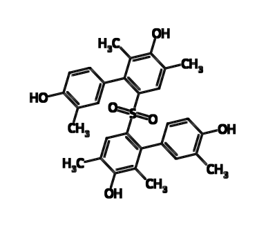 Cc1cc(-c2c(S(=O)(=O)c3cc(C)c(O)c(C)c3-c3ccc(O)c(C)c3)cc(C)c(O)c2C)ccc1O